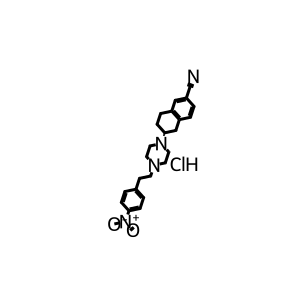 Cl.N#Cc1ccc2c(c1)CC[C@@H](N1CCN(CCc3ccc([N+](=O)[O-])cc3)CC1)C2